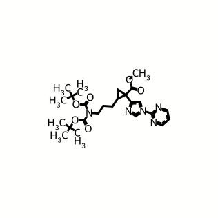 COC(=O)C1(c2cn(-c3ncccn3)cn2)CC1CCCN(C(=O)OC(C)(C)C)C(=O)OC(C)(C)C